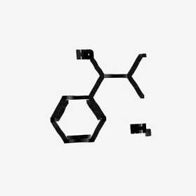 N.[CH2]C(C)C(O)c1ccccc1